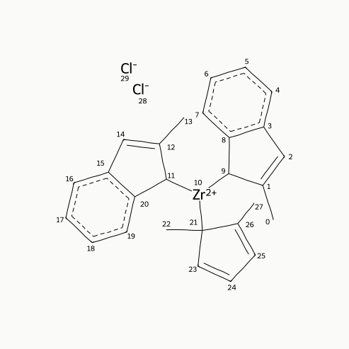 CC1=Cc2ccccc2[CH]1[Zr+2]([CH]1C(C)=Cc2ccccc21)[C]1(C)C=CC=C1C.[Cl-].[Cl-]